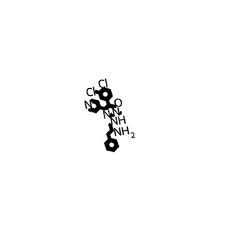 Cn1c(NC[C@H](N)Cc2ccccc2)nc(-c2ccncc2)c(-c2ccc(Cl)c(Cl)c2)c1=O